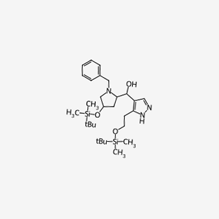 CC(C)(C)[Si](C)(C)OCCc1[nH]ncc1C(O)C1CC(O[Si](C)(C)C(C)(C)C)CN1Cc1ccccc1